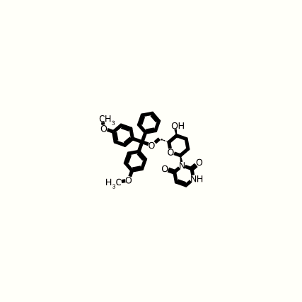 COc1ccc(C(OC[C@H]2O[C@H](n3c(=O)cc[nH]c3=O)CC[C@@H]2O)(c2ccccc2)c2ccc(OC)cc2)cc1